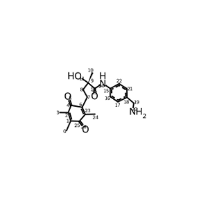 CC1=C(C)C(=O)C(CC[C@](C)(O)C(=O)Nc2ccc(CN)cc2)=C(C)C1=O